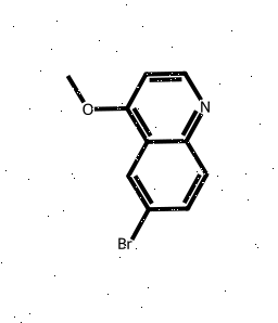 COc1ccnc2ccc(Br)cc12